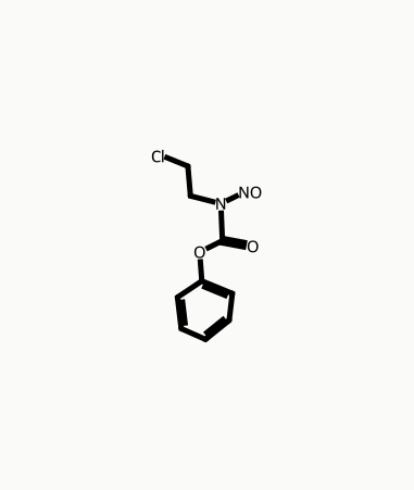 O=NN(CCCl)C(=O)Oc1ccccc1